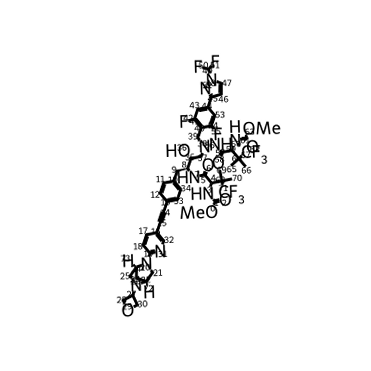 COC(=O)NC(C(=O)N[C@@H](Cc1ccc(C#Cc2ccc(N3C[C@H]4C[C@@H]3CN4C3COC3)nc2)cc1)[C@@H](O)CN(Cc1c(F)cc(-c2ccn(C(F)F)n2)cc1F)NC(=O)[C@@H](NC(=O)OC)C(C)(C)C(F)(F)F)C(C)(C)C(F)(F)F